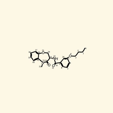 CCCCOc1cccc(C(=O)N[C@@H]2COc3ccccc3N(C)C2=O)c1